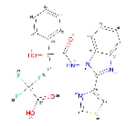 CC(O)(C(=O)Nn1c(-c2cscn2)nc2ccccc21)c1ccccc1.O=C(O)C(F)(F)F